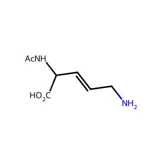 CC(=O)NC(/C=C/CN)C(=O)O